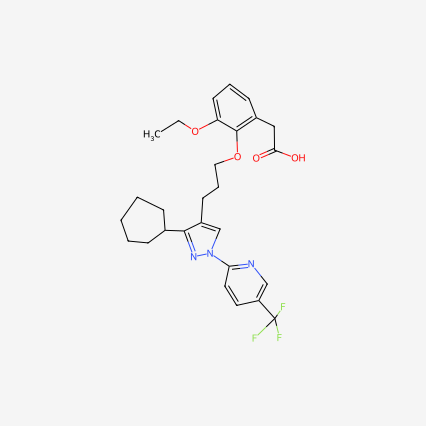 CCOc1cccc(CC(=O)O)c1OCCCc1cn(-c2ccc(C(F)(F)F)cn2)nc1C1CCCCC1